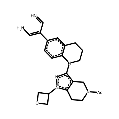 CC(=O)N1CCc2c(c(N3CCCc4cc(/C(C=N)=C/N)ccc43)nn2C2COC2)C1